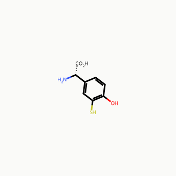 N[C@H](C(=O)O)c1ccc(O)c(S)c1